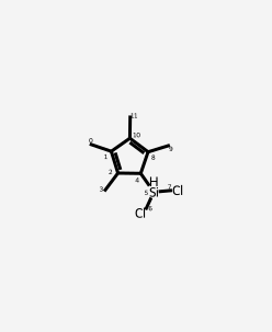 CC1=C(C)C([SiH](Cl)Cl)C(C)=C1C